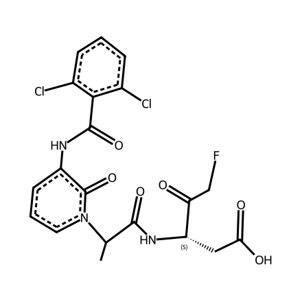 CC(C(=O)N[C@@H](CC(=O)O)C(=O)CF)n1cccc(NC(=O)c2c(Cl)cccc2Cl)c1=O